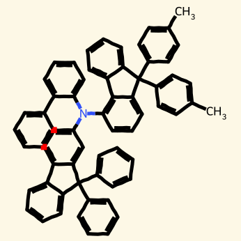 Cc1ccc(C2(c3ccc(C)cc3)c3ccccc3-c3c(N(c4ccc5c(c4)C(c4ccccc4)(c4ccccc4)c4ccccc4-5)c4ccccc4-c4ccccc4)cccc32)cc1